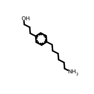 NCCCCCCc1ccc(CCCO)cc1